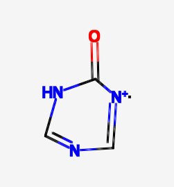 O=C1[N+]=CN=CN1